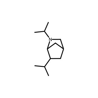 CC(C)C1CC2CC1N(C(C)C)C2